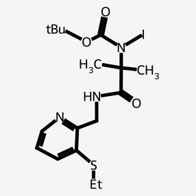 CCSc1cccnc1CNC(=O)C(C)(C)N(I)C(=O)OC(C)(C)C